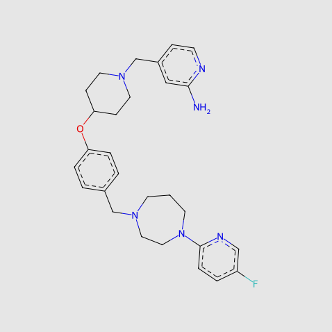 Nc1cc(CN2CCC(Oc3ccc(CN4CCCN(c5ccc(F)cn5)CC4)cc3)CC2)ccn1